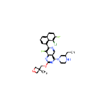 CC1(COc2nc(N3CCNC(CC#N)C3)c3cnc(-c4cccc5ccc(F)c(Cl)c45)c(F)c3n2)COC1